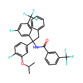 CC(C)Oc1cc(C(Cc2ccccc2)(NC(=O)c2cccc(C(F)(F)F)c2)c2cc(F)cc(C(F)(F)F)c2)ccc1F